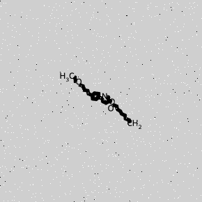 C=CCCCCCCC(=O)Oc1ccc(-c2ccc(CCCCCOCCC)cc2)nc1